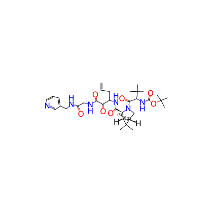 C=CCC(NC(=O)[C@@H]1[C@@H]2[C@H](CN1C(=O)C(NC(=O)OC(C)(C)C)C(C)(C)C)C2(C)C)C(=O)C(=O)NCC(=O)NCc1cccnc1